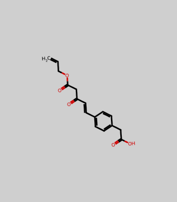 C=CCOC(=O)CC(=O)C=Cc1ccc(CC(=O)O)cc1